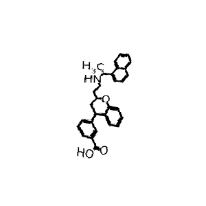 C[C@@H](NCCC1CC(c2cccc(C(=O)O)c2)c2ccccc2O1)c1cccc2ccccc12